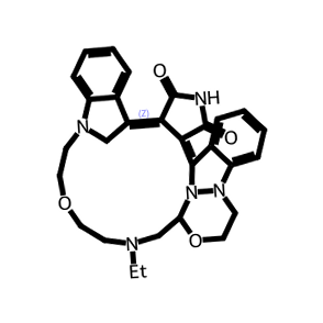 CCN1CCOCCN2C/C(=C3\C(=O)NC(=O)C3=C3c4ccccc4N4CCOC(C1)N34)c1ccccc12